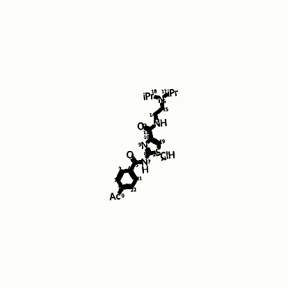 CC(=O)c1ccc(C(=O)Nc2nc(C(=O)NCCN(C(C)C)C(C)C)cs2)cc1.Cl